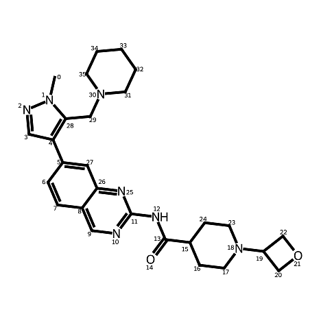 Cn1ncc(-c2ccc3cnc(NC(=O)C4CCN(C5COC5)CC4)nc3c2)c1CN1CCCCC1